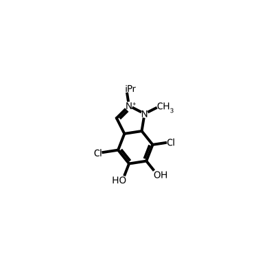 CC(C)[N+]1=CC2C(Cl)=C(O)C(O)=C(Cl)C2N1C